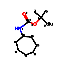 CC(C)(C)C(C)(C)OC(=O)NC1CCCCCC1